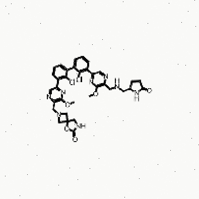 COc1nc(-c2cccc(-c3cccc(-c4cnc(CN5CC6(CNC(=O)O6)C5)c(OC)n4)c3Cl)c2Cl)cnc1CNCC1CCC(=O)N1